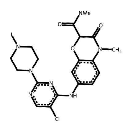 CNC(=O)C1Oc2cc(Nc3nc(N4CCN(I)CC4)ncc3Cl)ccc2N(C)C1=O